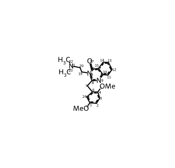 COc1ccc(OC)c(Cc2nc3ccccc3c(=O)n2CCN(C)C)c1